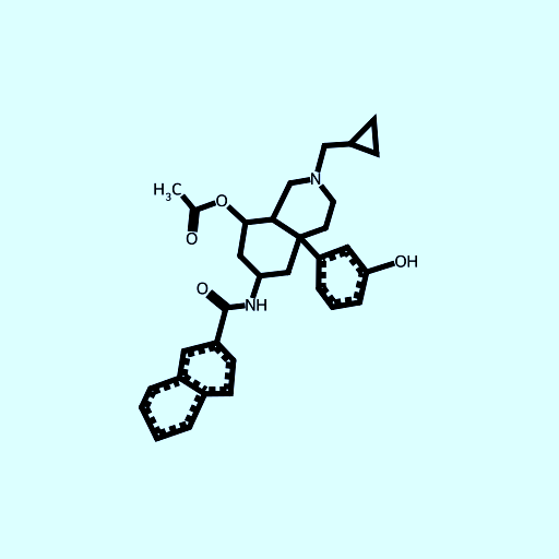 CC(=O)OC1CC(NC(=O)c2ccc3ccccc3c2)CC2(c3cccc(O)c3)CCN(CC3CC3)CC12